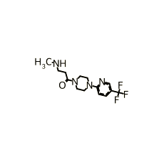 CNCCC(=O)N1CCN(c2ccc(C(F)(F)F)cn2)CC1